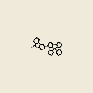 O=c1oc2ccc(-c3ccc4c(c3)C3(c5ccccc5-c5ccccc53)c3ccccc3-4)cc2c2ccccc12